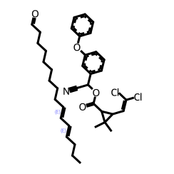 CC1(C)C(C=C(Cl)Cl)C1C(=O)OC(C#N)c1cccc(Oc2ccccc2)c1.CCC/C=C/C=C/CCCCCCCCC=O